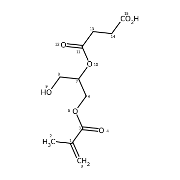 C=C(C)C(=O)OCC(CO)OC(=O)CCC(=O)O